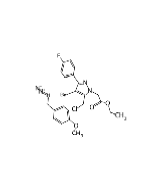 CCOC(=O)Cn1nc(-c2ccc(F)cc2)c(Br)c1CCl.COc1ccc(CN=[N+]=[N-])cc1